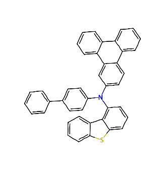 c1ccc(-c2ccc(N(c3ccc4c5ccccc5c5ccccc5c4c3)c3cccc4sc5ccccc5c34)cc2)cc1